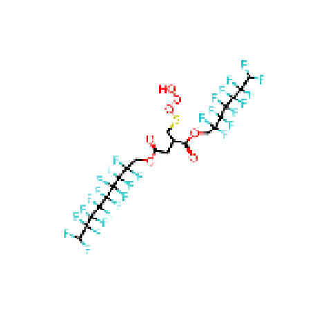 O=C(CC(CSOOO)C(=O)OCC(F)(F)C(F)(F)C(F)(F)C(F)(F)C(F)(F)C(F)F)OCC(F)(F)C(F)(F)C(F)(F)C(F)(F)C(F)(F)C(F)(F)C(F)(F)C(F)F